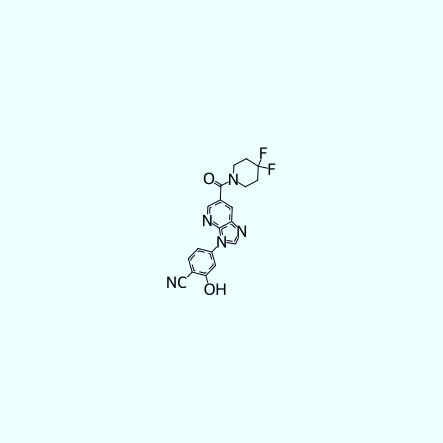 N#Cc1ccc(-n2cnc3cc(C(=O)N4CCC(F)(F)CC4)cnc32)cc1O